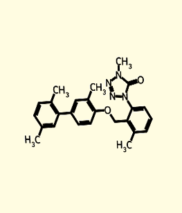 Cc1ccc(C)c(-c2ccc(OCc3c(C)cccc3-n3nnn(C)c3=O)c(C)c2)c1